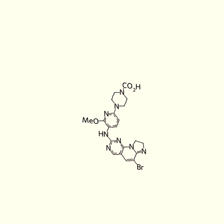 COc1nc(N2CCN(C(=O)O)CC2)ccc1Nc1ncc2c(n1)N1CCN=C1C(Br)=C2